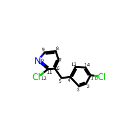 Clc1ccc(Cc2cccnc2Cl)cc1